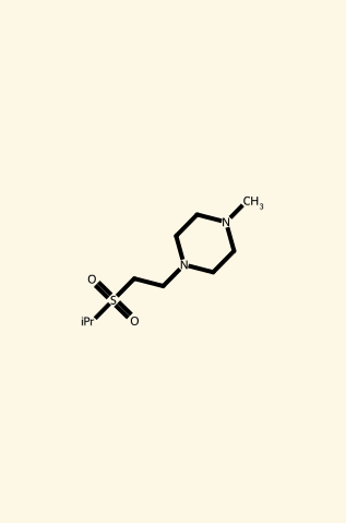 CC(C)S(=O)(=O)CCN1CCN(C)CC1